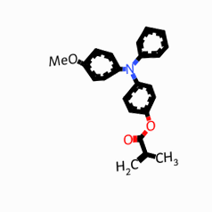 C=C(C)C(=O)Oc1ccc(N(c2ccccc2)c2ccc(OC)cc2)cc1